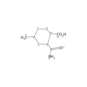 BC(=O)C1CC(C)CCC1C(=O)O